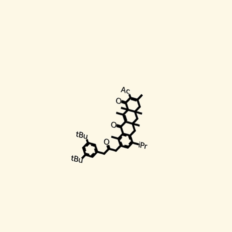 CC(=O)C1=C(C)CC2(C)CC3(C)Cc4c(C(C)C)cc(CC(=O)Cc5cc(C(C)(C)C)cc(C(C)(C)C)c5)c(C)c4C(=O)C3=C(C)C2(C)C1=O